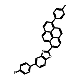 Cc1ccc(-c2ccc3ccc4c(-c5nc6cc(-c7ccc(F)cc7)ccc6o5)ccc5ccc2c3c54)cc1